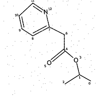 CC(C)OC(=O)Cc1ccccn1